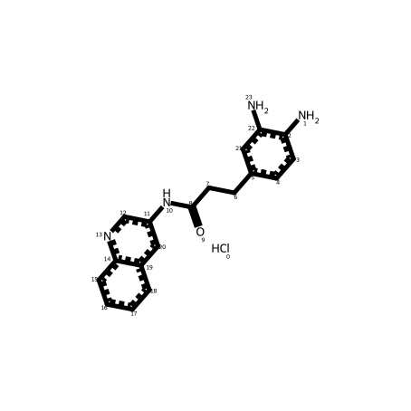 Cl.Nc1ccc(CCC(=O)Nc2cnc3ccccc3c2)cc1N